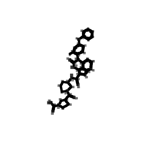 Cc1cc(Oc2ccccc2)ccc1N1C(=O)Nc2c(C(=O)N[C@@H]3CCCN(C(=O)C4CCN(C(=O)O)C4)C3)sc3nccc1c23